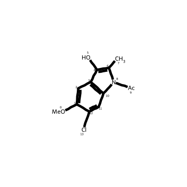 COc1cc2c(O)c(C)n(C(C)=O)c2cc1Cl